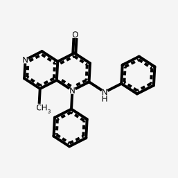 Cc1cncc2c(=O)cc(Nc3ccccc3)n(-c3ccccc3)c12